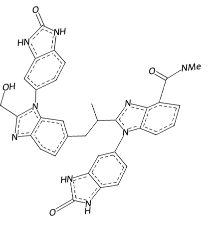 CNC(=O)c1cccc2c1nc(C(C)Cc1ccc3nc(CO)n(-c4ccc5[nH]c(=O)[nH]c5c4)c3c1)n2-c1ccc2[nH]c(=O)[nH]c2c1